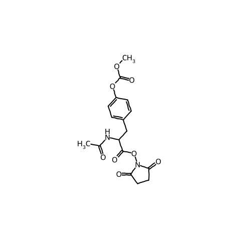 COC(=O)Oc1ccc(CC(NC(C)=O)C(=O)ON2C(=O)CCC2=O)cc1